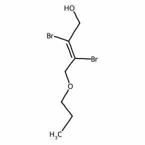 CCCOC/C(Br)=C(\Br)CO